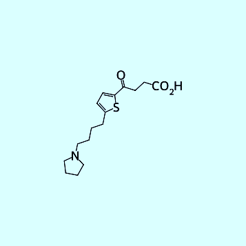 O=C(O)CCC(=O)c1ccc(CCCCN2CCCC2)s1